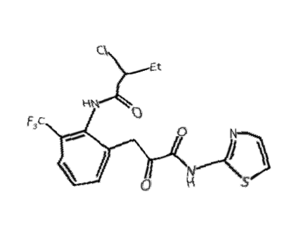 CCC(Cl)C(=O)Nc1c(CC(=O)C(=O)Nc2nccs2)cccc1C(F)(F)F